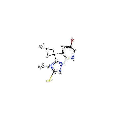 CC1CC(c2cncc(Br)c2)(c2nnc(S)n2C)C1